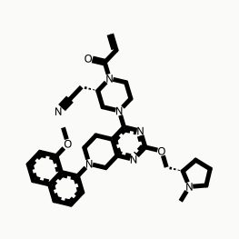 C=CC(=O)N1CCN(c2nc(OC[C@@H]3CCCN3C)nc3c2CCN(c2cccc4cccc(OC)c24)C3)C[C@@H]1CC#N